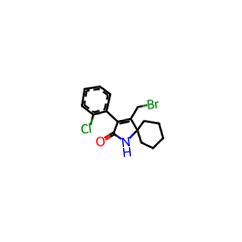 O=C1NC2(CCCCC2)C(CBr)=C1c1ccccc1Cl